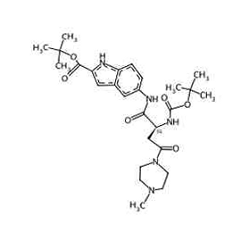 CN1CCN(C(=O)C[C@H](NC(=O)OC(C)(C)C)C(=O)Nc2ccc3[nH]c(C(=O)OC(C)(C)C)cc3c2)CC1